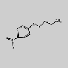 CCCCOc1ccc(P(=S)=S)cc1